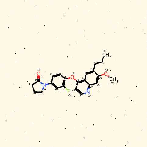 CCCc1cc2c(Oc3ccc(N4CCCC4=O)cc3F)ccnc2cc1OC